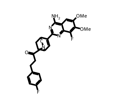 COc1cc2c(N)nc(C3=CC4CCC3CN4C(=O)CCc3ccc(F)cc3)nc2c(F)c1OC